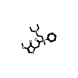 CCN(CC)CC[N+](C)(C(=O)CC1SC=C(OC)C1=O)c1ccccc1